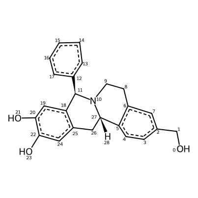 OCc1ccc2c(c1)CCN1[C@H](c3ccccc3)c3cc(O)c(O)cc3C[C@@H]21